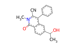 CC(O)c1ccc2c(=O)n(C)c(C#N)c(-c3ccccc3)c2c1